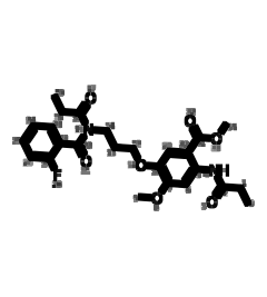 CCC(=O)Nc1cc(OC)c(OCCCN(C(=O)CC)C(=O)c2ccccc2F)cc1C(=O)OC